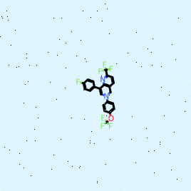 Fc1ccc(C2=CN(c3ccc(OC(F)(F)F)cc3)Cc3ccc(C(F)(F)F)nc32)cc1